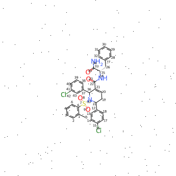 Cc1ccccc1S(=O)(=O)N1C(c2ccc(Cl)cc2)CC=C(C(=O)N[C@@H](Cc2ccccc2)C(N)=O)C1c1cccc(Cl)c1